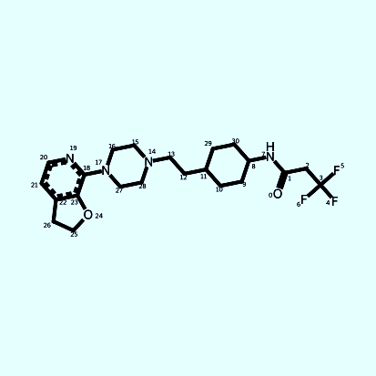 O=C(CC(F)(F)F)NC1CCC(CCN2CCN(c3nccc4c3OCC4)CC2)CC1